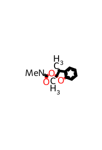 CNC(=O)OC1(C)Oc2ccccc2C1C